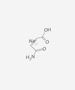 NC(=O)/C=C\C(=O)O.[Na]